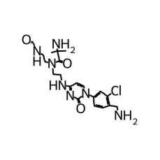 CC(C)(N)C(=O)N(CCNC=O)CCNc1ccn(-c2ccc(CN)c(Cl)c2)c(=O)n1